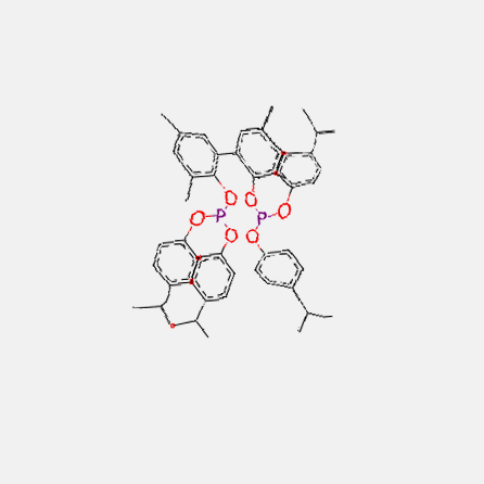 Cc1cc(C)c(OP(Oc2ccc(C(C)C)cc2)Oc2ccc(C(C)C)cc2)c(-c2cc(C)cc(C)c2OP(Oc2ccc(C(C)C)cc2)Oc2ccc(C(C)C)cc2)c1